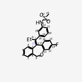 CC/C(=C1\c2ccccc2COc2cc(F)ccc21)c1cccc(NS(C)(=O)=O)c1